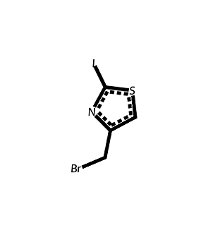 BrCc1csc(I)n1